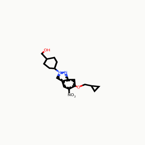 O=[N+]([O-])c1cc2cn(C3CCC(CO)CC3)nc2cc1OCC1CC1